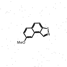 COc1ccc2ccc3sncc3c2c1